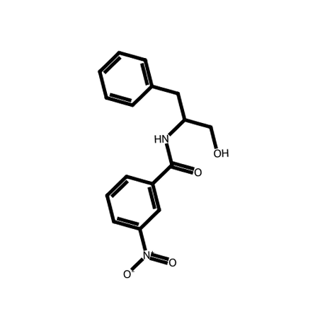 O=C(NC(CO)Cc1ccccc1)c1cccc([N+](=O)[O-])c1